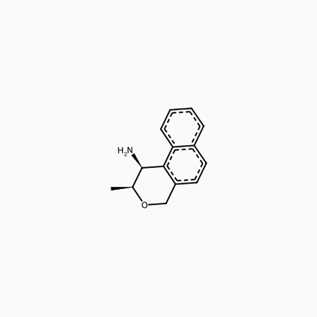 C[C@@H]1OCc2ccc3ccccc3c2[C@@H]1N